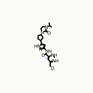 CN/C(=C\C(=N)COC)C(=O)Nc1cc(C2CCC(N3CCN(C(C)C)C3=O)C2)[nH]n1